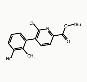 Cc1c(C#N)cccc1-c1ccc(C(=O)OC(C)(C)C)nc1Cl